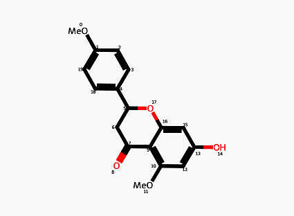 COc1ccc(C2CC(=O)c3c(OC)cc(O)cc3O2)cc1